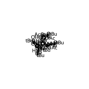 CC(=O)OC1[C@@H](O[C@@H]2C(O)C(O[C@H]3OC(CNC(=O)OC(C)(C)C)CCC3NC(=O)OC(C)(C)C)[C@H](NC(=O)OC(C)(C)C)C[C@H]2NC(=O)[C@H](CCNC(=O)OC(C)(C)C)OC(C)=O)OC(C=O)[C@@H](OC(C)=O)[C@@H]1NC(=O)OC(C)(C)C